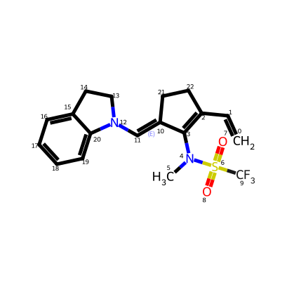 C=CC1=C(N(C)S(=O)(=O)C(F)(F)F)/C(=C/N2CCc3ccccc32)CC1